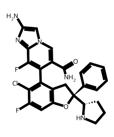 NC(=O)c1cn2cc(N)nc2c(F)c1-c1c(Cl)c(F)cc2c1C[C@](c1ccccc1)([C@@H]1CCCN1)O2